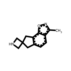 Cc1noc2c3c(ccc12)CC1(CNC1)C3